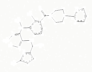 C/N=C(\C(=N/S)N[C@@H](c1ccc(C)o1)C(C)(C)C)N(C)c1cccc(C(=O)N2CCN(c3ncccn3)CC2)c1O